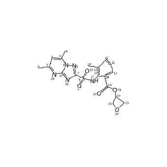 Cc1cc(C)n2nc(S(=O)(=O)Nc3c(C)cccc3C(=O)OC3COC3)nc2n1